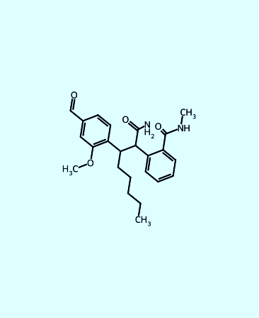 CCCCCC(c1ccc(C=O)cc1OC)C(C(N)=O)c1ccccc1C(=O)NC